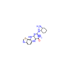 N=C(/N=C(/Nc1cccc2ncsc12)C(=N)C(N)=O)N[C@@H]1CCCC[C@@H]1N